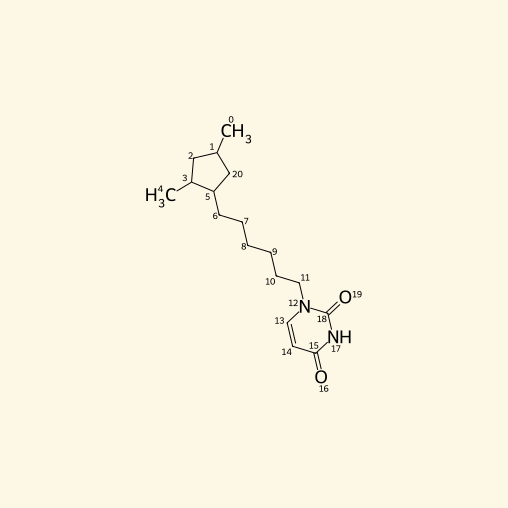 CC1CC(C)C(CCCCCCn2ccc(=O)[nH]c2=O)C1